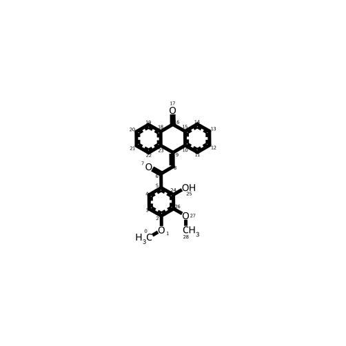 COc1ccc(C(=O)C=C2c3ccccc3C(=O)c3ccccc32)c(O)c1OC